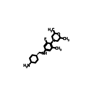 Cc1cc(NC[C@H]2CC[C@H](N)CC2)cc(F)c1N1CC(C)OC(C)C1